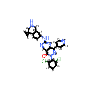 O=c1c2cnc(Nc3ccc4c(c3)CNCC43CC3)nc2c(-c2ccncc2)nn1-c1c(Cl)cccc1Cl